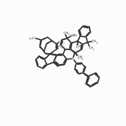 CC1=CC2(c3ccccc3-c3ccc4c(c32)C2(C)C=CC(C)(C(C)(C)C)C3=C2C(C)(C=C2C(C)(C)c5ccccc5C23C)N4c2ccc(-c3ccccc3)cc2)C2CC(C)CC1C2